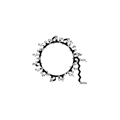 CC[C@H]1NC(=O)[C@H]([C@H](O)[C@H](C)CCCCCCCNC(C)=O)N(C)C(=O)[C@@H](C(C)C)N(C)C(=O)[C@@H](CC(C)C)N(C)C(=O)[C@H](CC(C)C)N(C)C(=O)[C@H](C)NC(=O)[C@@H](C)NC(=O)[C@@H](CC(C)C)N(C)C(=O)[C@@H](C(C)C)NC(=O)[C@H](CC(C)C)N(C)C(=O)CN(C)C1=O